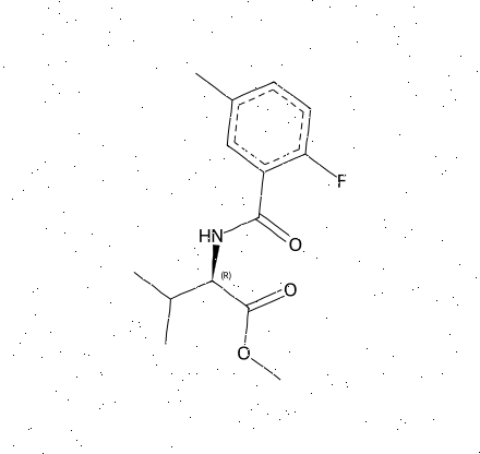 COC(=O)[C@H](NC(=O)c1cc(C)ccc1F)C(C)C